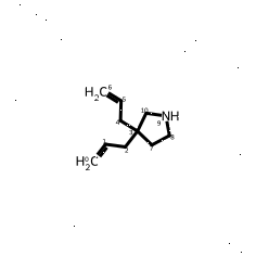 C=CCC1(CC=C)CCNC1